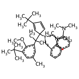 COc1c(C(C)(C)C)cc(C)cc1C(C)(C)[C]1([Y]([CH2]c2ccccc2N(C)C)[CH2]c2ccccc2N(C)C)C=CC(C(C)(C)C)=C1